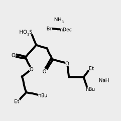 CCCCC(CC)COC(=O)CC(C(=O)OCC(CC)CCCC)S(=O)(=O)O.CCCCCCCCCCBr.N.[NaH]